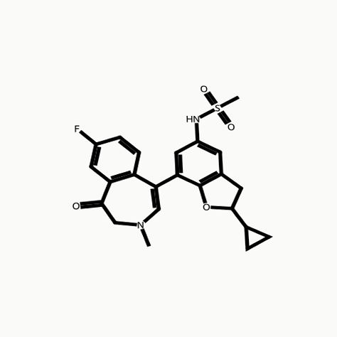 CN1C=C(c2cc(NS(C)(=O)=O)cc3c2OC(C2CC2)C3)c2ccc(F)cc2C(=O)C1